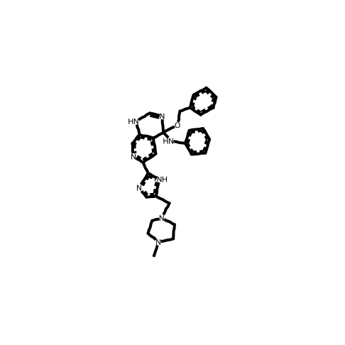 CN1CCN(Cc2cnc(-c3cc4c(cn3)NC=NC4(Nc3ccccc3)OCc3ccccc3)[nH]2)CC1